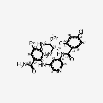 CCC[C@@H](Nc1nc(Nc2cncc(NC(=O)c3ccc(Cl)cc3Cl)c2)c(C(N)=O)cc1F)[C@H](C)N